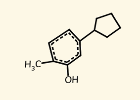 Cc1ccc(C2CCCC2)cc1O